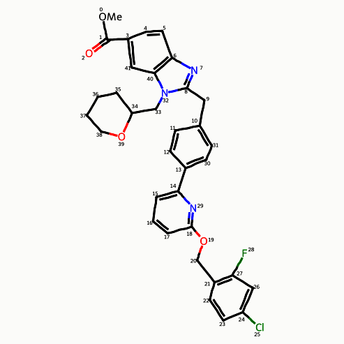 COC(=O)c1ccc2nc(Cc3ccc(-c4cccc(OCc5ccc(Cl)cc5F)n4)cc3)n(CC3CCCCO3)c2c1